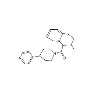 CC1CCc2ccccc2N1C(=O)N1CCC(c2ccncc2)CC1